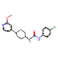 COc1cc(C2CCC(C(C)C(=O)Nc3ccc(Cl)cc3)CC2)ccn1